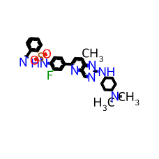 Cc1cc(-c2ccc(NS(=O)(=O)c3ccc#cc3C#N)c(F)c2)nc2cnc(N[C@H]3CC[C@H](N(C)C)CC3)nc12